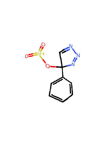 O=[SH](=O)OC1(c2ccccc2)C=NN=N1